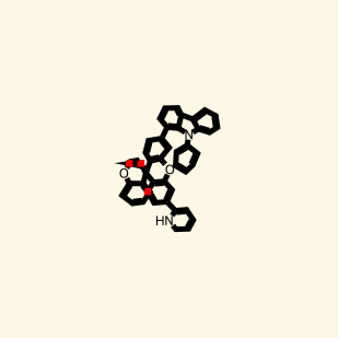 C1=CCNC(c2ccc3c(c2)Oc2cc(-c4cccc5c6ccccc6n(-c6ccccc6)c45)ccc2C32c3ccccc3Oc3ccccc32)=C1